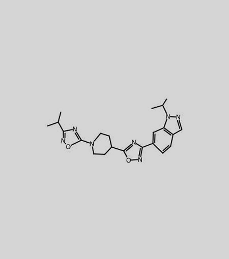 CC(C)c1noc(N2CCC(c3nc(-c4ccc5cnn(C(C)C)c5c4)no3)CC2)n1